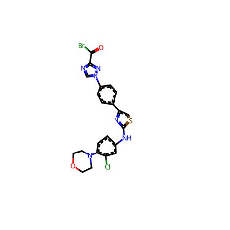 O=C(Br)c1ncn(-c2ccc(-c3csc(Nc4ccc(N5CCOCC5)c(Cl)c4)n3)cc2)n1